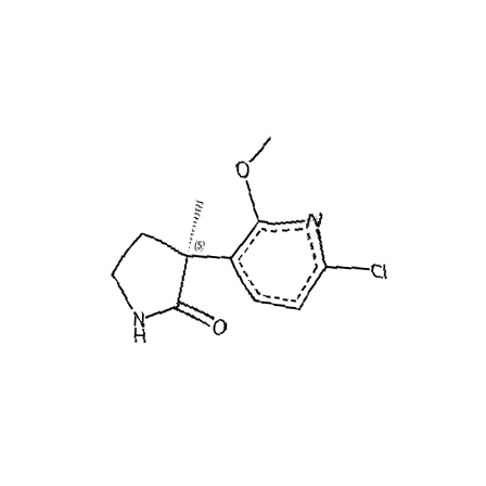 COc1nc(Cl)ccc1[C@]1(C)CCNC1=O